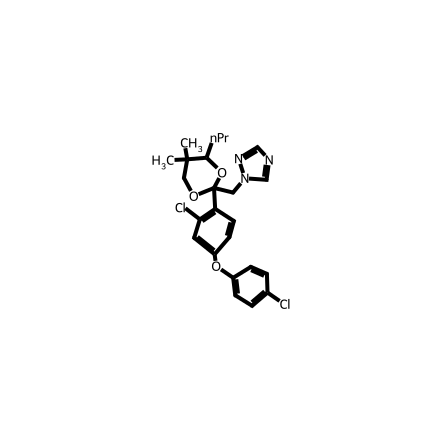 CCCC1OC(Cn2cncn2)(c2ccc(Oc3ccc(Cl)cc3)cc2Cl)OCC1(C)C